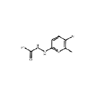 Cc1nc(NNC(=O)C(C)C)ccc1Br